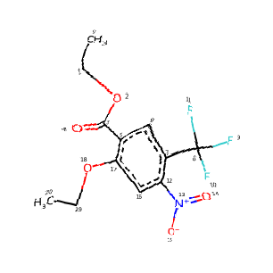 CCOC(=O)c1cc(C(F)(F)F)c([N+](=O)[O-])cc1OCC